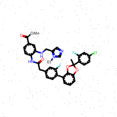 CCn1cncc1CNc1cc(C(=O)OC)ccc1NC(=O)Cc1ccc(-c2cccc3c2OC(C)(c2ccc(Cl)cc2F)O3)c(F)c1